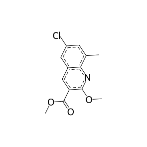 COC(=O)c1cc2cc(Cl)cc(C)c2nc1OC